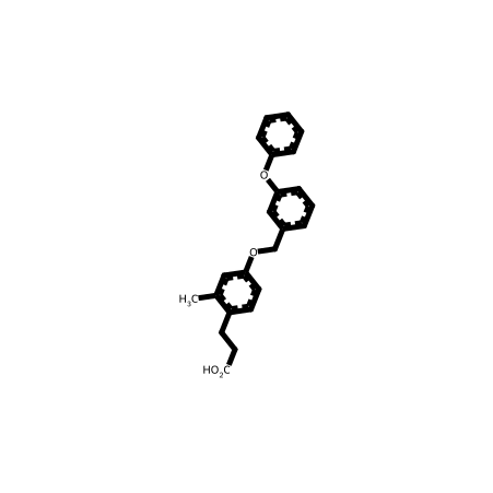 Cc1cc(OCc2cccc(Oc3ccccc3)c2)ccc1CCC(=O)O